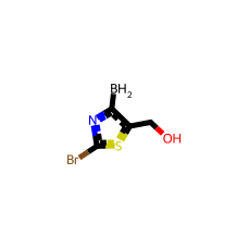 Bc1nc(Br)sc1CO